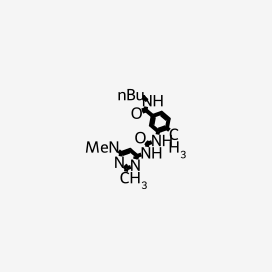 CCCCNC(=O)c1ccc(C)c(NC(=O)Nc2cc(NC)nc(C)n2)c1